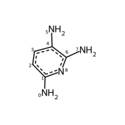 Nc1ccc(N)c(N)n1